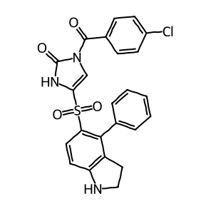 O=C(c1ccc(Cl)cc1)n1cc(S(=O)(=O)c2ccc3c(c2-c2ccccc2)CCN3)[nH]c1=O